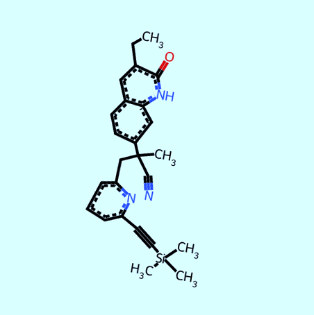 CCc1cc2ccc(C(C)(C#N)Cc3cccc(C#C[Si](C)(C)C)n3)cc2[nH]c1=O